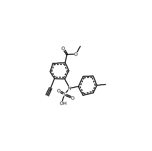 C#Cc1ccc(C(=O)OC)cc1N(c1ccc(C)cc1)S(=O)(=O)O